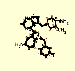 C[C@H]1CN(Cc2ccn3ncnc(-c4nn(Cc5cccc(F)c5)c5ccc(N)cc45)c23)CC[C@H]1N